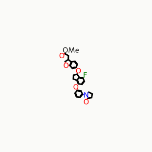 COC(=O)CC1COc2cc(O[C@@H]3CCc4c(Oc5cccc(N6CCCC6=O)c5)ccc(F)c43)ccc21